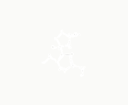 COc1ccc(OC)c(C2(C)CCC(=O)O2)c1